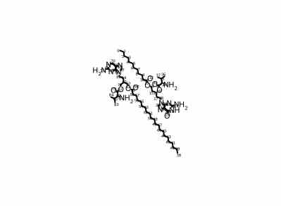 CCCCCCCCCCCC(=O)OCCC(CCn1cnc2c(=O)[nH]c(N)nc21)OC(=O)[C@@H](N)C(C)C.CCCCCCCCCCCCCCCCCCCCCC(=O)OCC(CCn1cnc2cnc(N)nc21)COC(=O)[C@@H](N)C(C)C